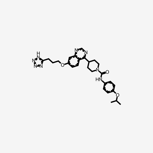 CC(C)Oc1ccc(NC(=O)N2CCC(c3ncnc4cc(OCCCc5nnn[nH]5)ccc34)CC2)cc1